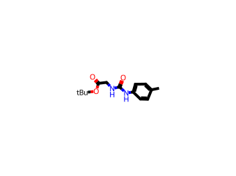 Cc1ccc(NC(=O)NCC(=O)OC(C)(C)C)cc1